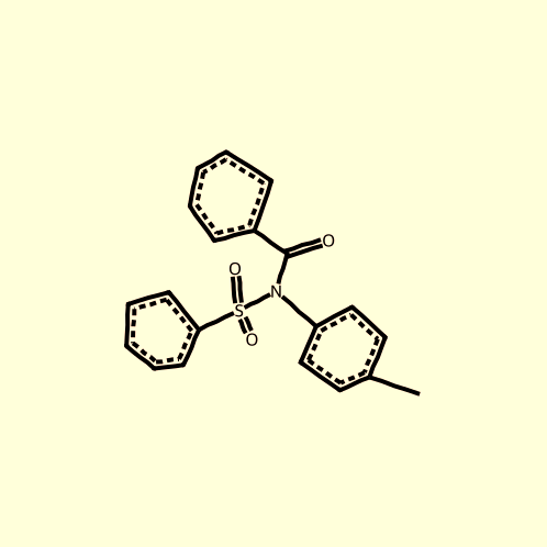 Cc1ccc(N(C(=O)c2ccccc2)S(=O)(=O)c2ccccc2)cc1